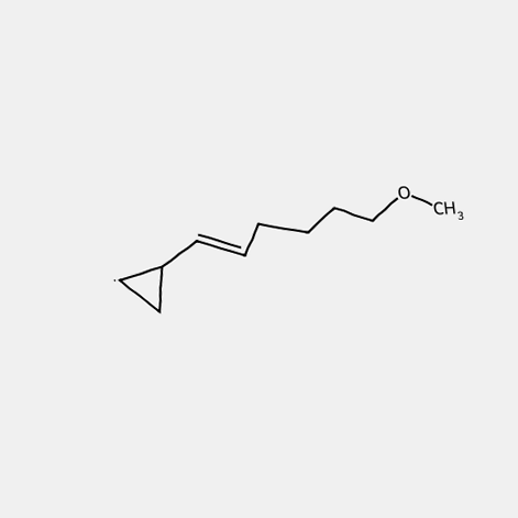 COCCCCC=CC1[CH]C1